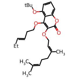 CCC=CCCOc1c(OC/C=C(\C)CCC=C(C)C)c(=O)oc2cccc(OC(C)(C)C)c12